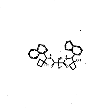 CCCC(CCC)(C(=O)NC(c1cccc2ccccc12)C1(O)CCC1)C(=O)NC(c1cccc2ccccc12)C1(O)CCC1